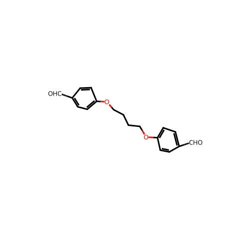 O=Cc1ccc(OCCCCOc2ccc(C=O)cc2)cc1